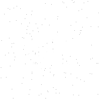 Cl.O[C@@](Cc1ccccc1-c1ccccc1)(c1ccccc1)[C@H]1CNCCO1